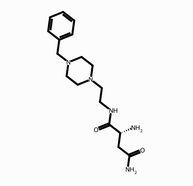 NC(=O)C[C@@H](N)C(=O)NCCN1CCN(Cc2ccccc2)CC1